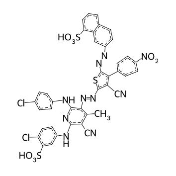 Cc1c(C#N)c(Nc2ccc(Cl)c(S(=O)(=O)O)c2)nc(Nc2ccc(Cl)cc2)c1N=Nc1sc(N=Nc2ccc3cccc(S(=O)(=O)O)c3c2)c(-c2ccc([N+](=O)[O-])cc2)c1C#N